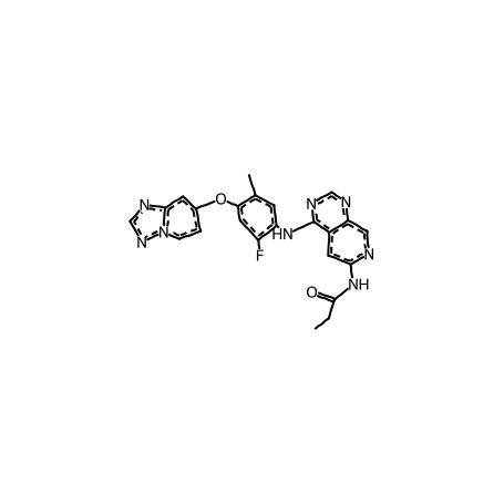 CCC(=O)Nc1cc2c(Nc3cc(C)c(Oc4ccn5ncnc5c4)cc3F)ncnc2cn1